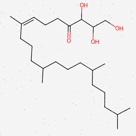 CC(=CCCC(=O)C(O)C(O)CO)CCCC(C)CCCC(C)CCCC(C)C